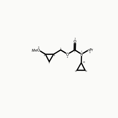 CCCN(C(=O)OCC1CC1OC)C1CC1